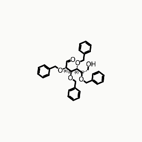 O=C[C@H](OCc1ccccc1)[C@H](OCc1ccccc1)[C@H](OCc1ccccc1)[C@H](CO)OCc1ccccc1